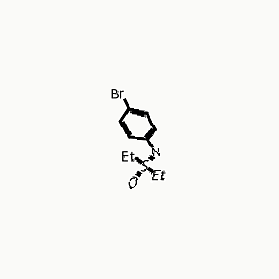 CCS(=O)(CC)=Nc1ccc(Br)cc1